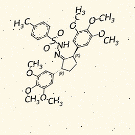 COc1cc([C@H]2CC[C@H](c3cc(OC)c(OC)c(OC)c3)C2=NNS(=O)(=O)c2ccc(C)cc2)cc(OC)c1OC